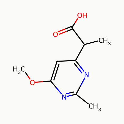 COc1cc(C(C)C(=O)O)nc(C)n1